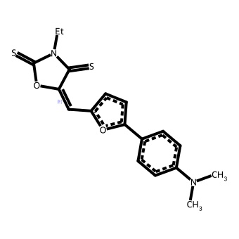 CCN1C(=S)O/C(=C/c2ccc(-c3ccc(N(C)C)cc3)o2)C1=S